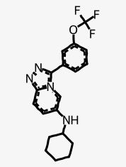 FC(F)(F)Oc1cccc(-c2nnc3ccc(NC4CCCCC4)cn23)c1